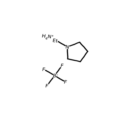 CCN1CCCC1.F[B-](F)(F)F.[NH4+]